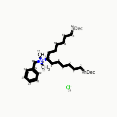 CCCCCCCCCCCCCCCCC(CCCCCCCCCCCCCCCC)[N+](C)(C)Cc1ccccc1.[Cl-]